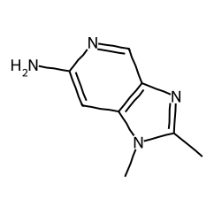 Cc1nc2cnc(N)cc2n1C